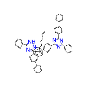 C=CCCCC(N(C)/C(=N\C(=N)c1ccccc1)c1ccc(-c2ccccc2)cc1)[C@@]1(c2ccc(-c3nc(-c4ccccc4)nc(-c4ccc(-c5ccccc5)cc4)n3)cc2)C2CC3CC(C2)C1C3